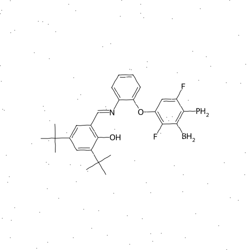 Bc1c(F)c(Oc2ccccc2/N=C/c2cc(C(C)(C)C)cc(C(C)(C)C)c2O)cc(F)c1P